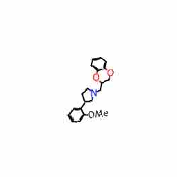 COc1ccccc1C1CCN(CC2COc3ccccc3O2)C1